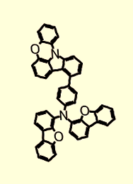 c1ccc2c(c1)Oc1cccc3c4c(-c5ccc(N(c6cccc7c6oc6ccccc67)c6cccc7c6oc6ccccc67)cc5)cccc4n-2c13